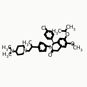 COc1cc2c(cc1OC(C)C)[C@H](c1ccc(Cl)cc1)N(c1ccc(C(C)CN3CCC(N(C)C)CC3)cc1)C(=O)C2